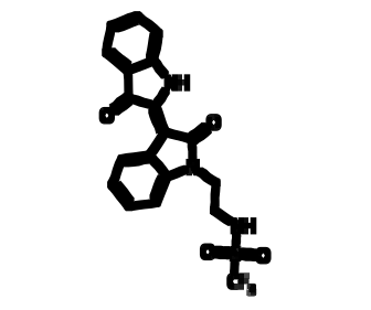 O=C1/C(=C2/C(=O)N(CCNS(=O)(=O)C(F)(F)F)c3ccccc32)Nc2ccccc21